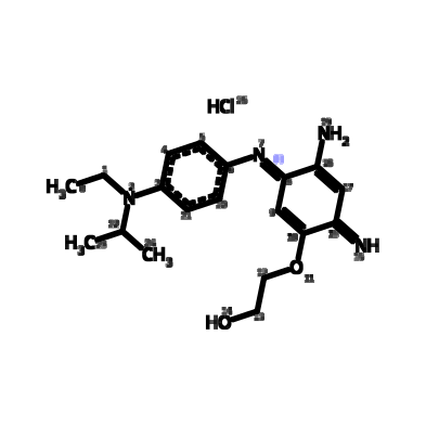 CCN(c1ccc(/N=C2\C=C(OCCO)C(=N)C=C2N)cc1)C(C)C.Cl